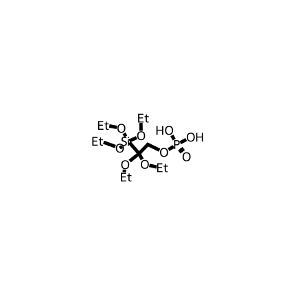 CCOC(COP(=O)(O)O)(OCC)[Si](OCC)(OCC)OCC